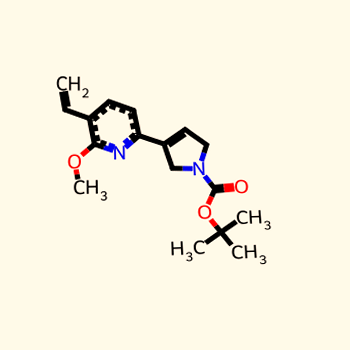 C=Cc1ccc(C2=CCN(C(=O)OC(C)(C)C)C2)nc1OC